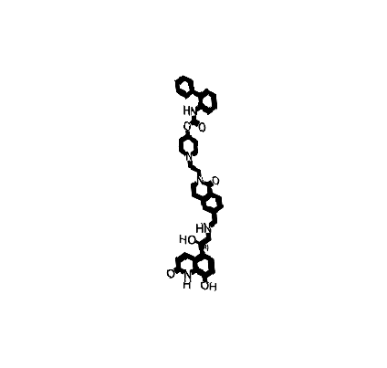 O=C(Nc1ccccc1-c1ccccc1)OC1CCN(CCN2CCc3cc(CNC[C@H](O)c4ccc(O)c5[nH]c(=O)ccc45)ccc3C2=O)CC1